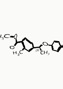 COC(=O)c1ccc([C@H](C)Oc2ccccc2)cc1C